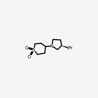 CC(C)[C@@H]1CCN(C2CCS(=O)(=O)CC2)C1